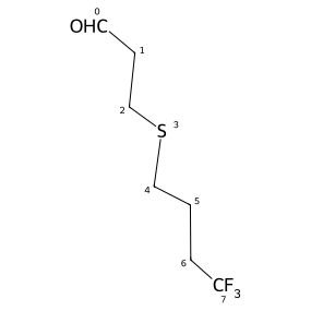 O=CCCSCCCC(F)(F)F